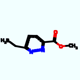 BCc1ccc(C(=O)OC)nn1